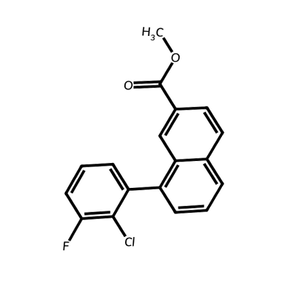 COC(=O)c1ccc2cccc(-c3cccc(F)c3Cl)c2c1